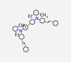 CCc1cccc(C)c1N(c1ccc(/C=C/c2ccccc2)cc1)c1ccc(-c2ccc(N(c3ccc(/C=C/c4ccccc4)cc3)c3c(C)cccc3CC)cc2)cc1